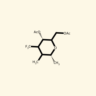 CC(=O)OCC1O[C@H](C)C(C)C(C(F)(F)F)[C@@H]1OC(C)=O